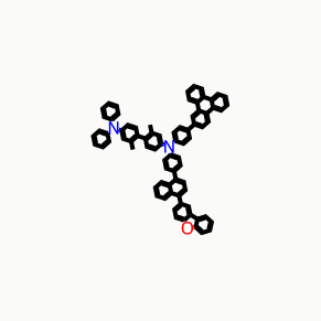 Cc1cc(N(c2ccccc2)c2ccccc2)ccc1-c1ccc(N(c2ccc(-c3ccc4c5ccccc5c5ccccc5c4c3)cc2)c2ccc(-c3ccc(-c4ccc5oc6ccccc6c5c4)c4ccccc34)cc2)cc1C